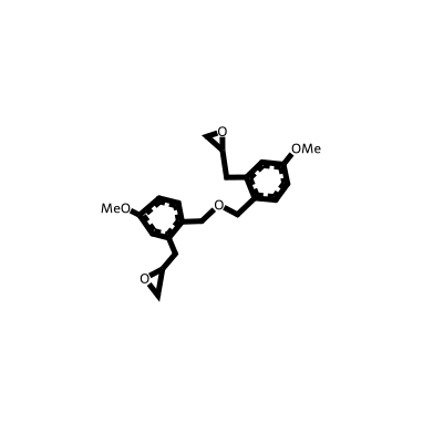 COc1ccc(COCc2ccc(OC)cc2CC2CO2)c(CC2CO2)c1